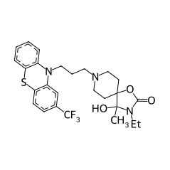 CCN1C(=O)OC2(CCN(CCCN3c4ccccc4Sc4ccc(C(F)(F)F)cc43)CC2)C1(C)O